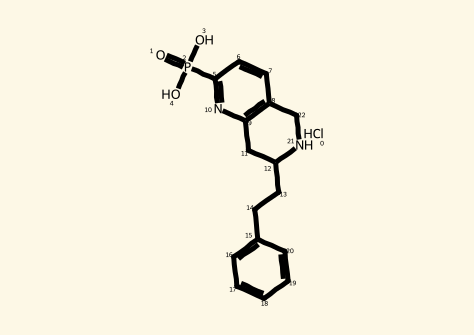 Cl.O=P(O)(O)c1ccc2c(n1)CC(CCc1ccccc1)NC2